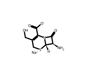 N[C@@H]1C(=O)N2C(C(=O)[O-])=C(CO)CS[C@@H]12.[Na+]